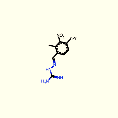 CCCc1ccc(/C=N/NC(=N)N)c(C)c1[N+](=O)[O-]